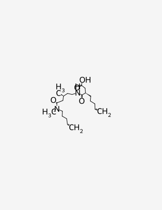 C=CCCC[C@H](CC(=O)O)C(=O)NCC[C@H](C)CC(=O)N(C)CCCC=C